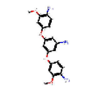 COc1cc(Oc2cc(N)cc(Oc3ccc(N)c(OC)c3)c2)ccc1N